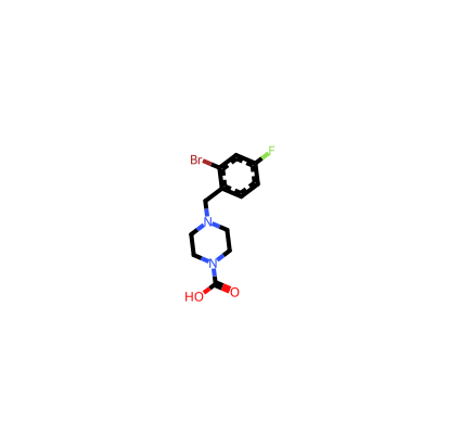 O=C(O)N1CCN(Cc2ccc(F)cc2Br)CC1